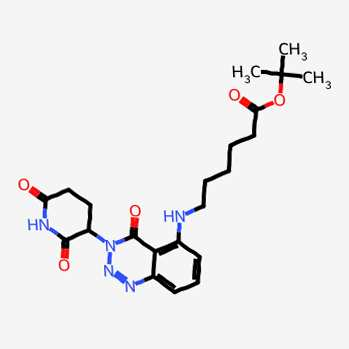 CC(C)(C)OC(=O)CCCCCNc1cccc2nnn(C3CCC(=O)NC3=O)c(=O)c12